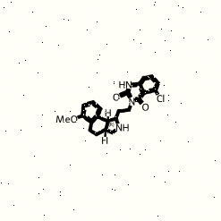 COc1cccc2c1CC[C@H]1CNC(CCn3c(=O)[nH]c4cccc(Cl)c4c3=O)[C@@H]21